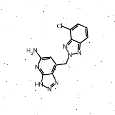 Nc1cc(Cn2nc3cccc(Cl)c3n2)c2nn[nH]c2n1